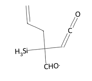 C=CCC([SiH3])([C]=O)C=C=O